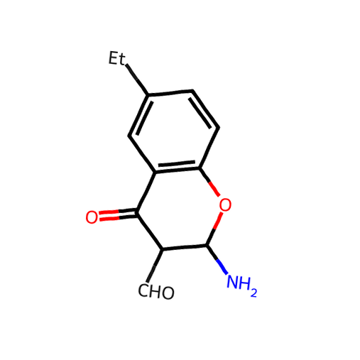 CCc1ccc2c(c1)C(=O)C(C=O)C(N)O2